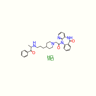 CC(NCCCC1CCN(CC(=O)N2c3ccccc3C(=O)Nc3cccnc32)CC1)C(=O)c1ccccc1.Cl.Cl